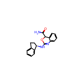 NC(=O)C1OC(N[C@@H]2CCc3ccccc32)=Nc2cc[c]cc21